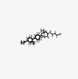 CCCCC[C@H]1CC[Si@H](c2ccc(-c3ccc(C#N)cc3F)cc2)CC1